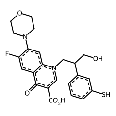 O=C(O)c1cn(CC(CO)c2cccc(S)c2)c2cc(N3CCOCC3)c(F)cc2c1=O